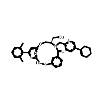 Cc1cccc(C)c1-c1cc2nc(n1)NSc1cccc(c1)C(=O)N(Cc1ccc(C3=CCCCC3)cn1)[C@H](CC(C)(C)C)CO2